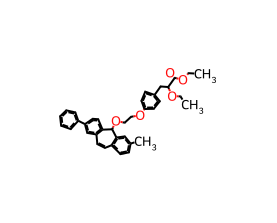 CCOC(=O)C(Cc1ccc(OCCOC2c3ccc(-c4ccccc4)cc3C=Cc3ccc(C)cc32)cc1)OCC